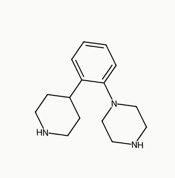 c1ccc(N2CCNCC2)c(C2CCNCC2)c1